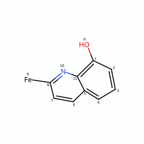 Oc1cccc2cc[c]([Fe])nc12